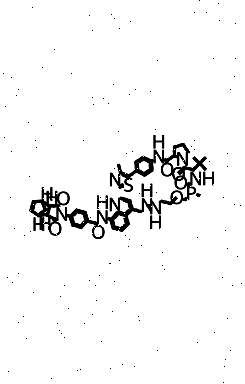 Cc1ncsc1-c1ccc(NC(=O)C2CCCN2C(=O)[C@@H](NC(=O)P(C)COCCNNCc2ccnc3c(NC(=O)c4ccc(N5C(=O)[C@@H]6[C@H](C5=O)[C@@H]5C=C[C@H]6C5)cc4)cccc23)C(C)(C)C)cc1